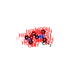 Bc1c(O)c(O)c2c(c1O)N1c3c(O)c(O)c(O)c(O)c3C3=Cc4c(oc5c(O)c(O)c(O)c(-c6c(O)c(O)c(O)c(-c7nc(-c8c(O)c(C)c(O)c(O)c8O)nc(-c8c(O)c(O)c(O)c(O)c8O)n7)c6O)c45)C2C31